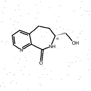 O=C1N[C@@H](CO)CCc2cccnc21